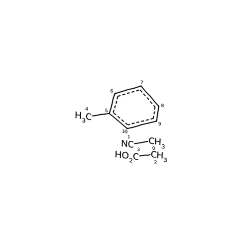 CC#N.CC(=O)O.Cc1ccccc1